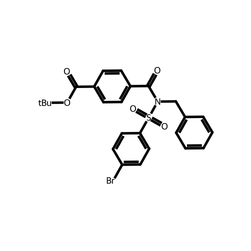 CC(C)(C)OC(=O)c1ccc(C(=O)N(Cc2ccccc2)S(=O)(=O)c2ccc(Br)cc2)cc1